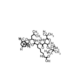 CC(C)CC(NC(=O)C(CCCCNC(=O)O)NC(=O)C(NC(=O)C(C)C)C(C)O[Si](C)(C)C(C)(C)C)B1O[C@@H]2C[C@@H]3C[C@@H](C3(C)C)[C@]2(C)O1